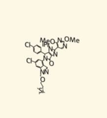 COc1ncc(-c2nc3c(n2C(C)C)C(c2ccc(Cl)cc2)N(c2cc(Cl)cc4c2cnn4COCC[Si](C)(C)C)C3=O)c(OC)n1